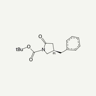 CC(C)(C)OC(=O)N1C[C@H](Cc2ccccc2)CC1=O